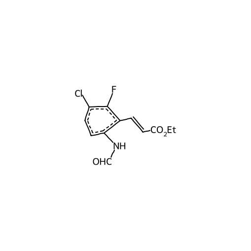 CCOC(=O)/C=C/c1c(NC=O)ccc(Cl)c1F